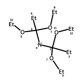 CCOC(CC)([N]C(CC)(OCC)OCC)OCC